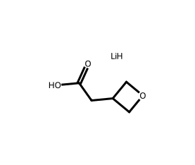 O=C(O)CC1COC1.[LiH]